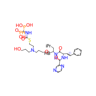 CC(C)CC(BOCCCN(CCCO)CCSC(=O)NC(P(O)O)[PH](=O)O)NC(=O)C(/C=C/c1ccccc1)NC(=O)c1cnccn1